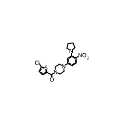 O=C(c1ccc(Cl)s1)N1CCN(c2ccc([N+](=O)[O-])c(N3CCCC3)c2)CC1